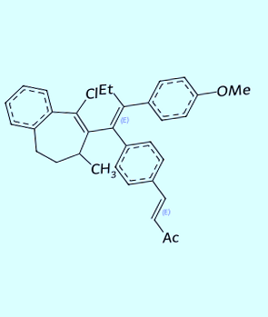 CC/C(=C(\C1=C(Cl)c2ccccc2CCC1C)c1ccc(/C=C/C(C)=O)cc1)c1ccc(OC)cc1